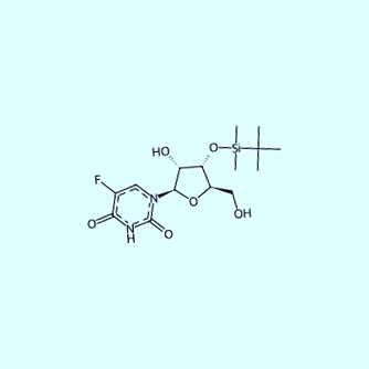 CC(C)(C)[Si](C)(C)O[C@H]1[C@@H](O)[C@H](n2cc(F)c(=O)[nH]c2=O)O[C@@H]1CO